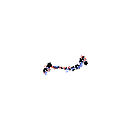 CC(=O)c1c(C)c2cnc(Nc3ccc(N4CCN(CC(=O)NCCOCCOCCNC(=O)COc5cccc6c5C(=O)N(C5CCC(=O)NC5=O)C6=O)CC4)cn3)nc2n(C2CCCC2)c1=O